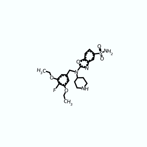 CCOc1cc(CN(c2nc3cc(S(N)(=O)=O)ccc3o2)C2CCNCC2)cc(OCC)c1F